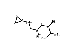 CCCCC(CNC1CC1)CC(CC)C(CC)CCC